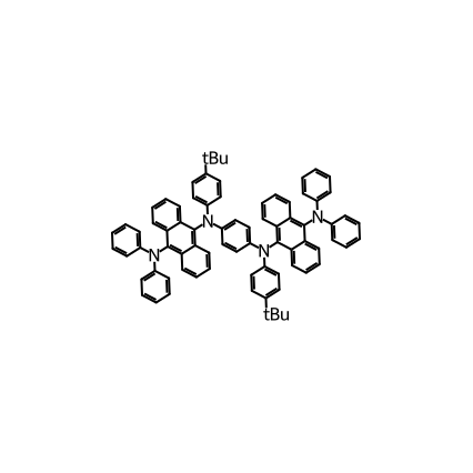 CC(C)(C)c1ccc(N(c2ccc(N(c3ccc(C(C)(C)C)cc3)c3c4ccccc4c(N(c4ccccc4)c4ccccc4)c4ccccc34)cc2)c2c3ccccc3c(N(c3ccccc3)c3ccccc3)c3ccccc23)cc1